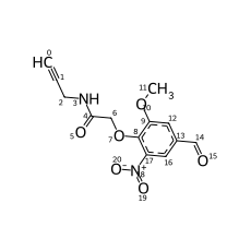 C#CCNC(=O)COc1c(OC)cc(C=O)cc1[N+](=O)[O-]